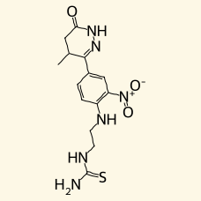 CC1CC(=O)NN=C1c1ccc(NCCNC(N)=S)c([N+](=O)[O-])c1